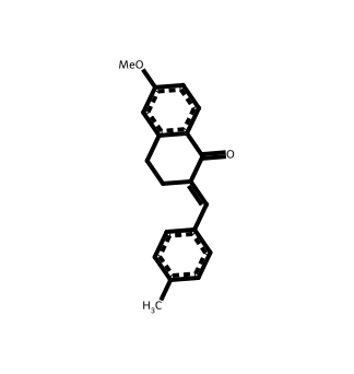 COc1ccc2c(c1)CCC(=Cc1ccc(C)cc1)C2=O